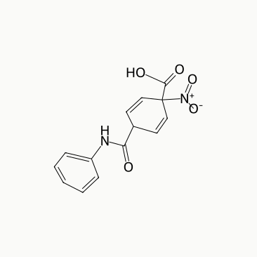 O=C(Nc1ccccc1)C1C=CC(C(=O)O)([N+](=O)[O-])C=C1